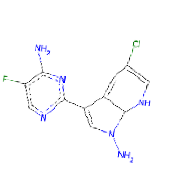 Nc1nc(C2=CN(N)C3NC=C(Cl)C=C23)ncc1F